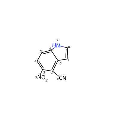 N#Cc1c([N+](=O)[O-])ccc2[nH]ccc12